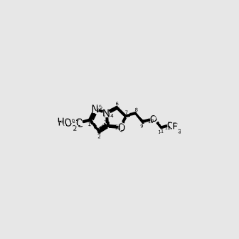 O=C(O)c1cc2n(n1)CC(CCOCC(F)(F)F)O2